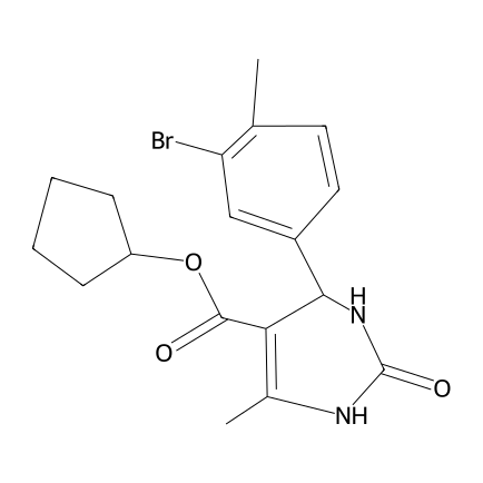 CC1=C(C(=O)OC2CCCC2)C(c2ccc(C)c(Br)c2)NC(=O)N1